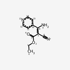 CCOC(=O)C(C#N)=C(N)c1ccncc1